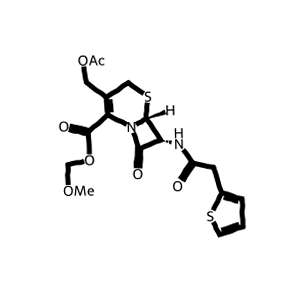 COCOC(=O)C1=C(COC(C)=O)CS[C@@H]2[C@H](NC(=O)Cc3cccs3)C(=O)N12